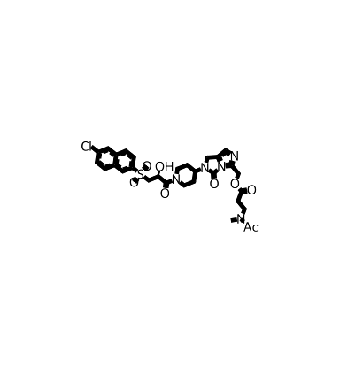 CC(=O)N(C)CCC(=O)OCc1ncc2n1C(=O)N(C1CCN(C(=O)[C@H](O)CS(=O)(=O)c3ccc4cc(Cl)ccc4c3)CC1)C2